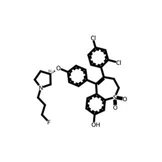 O=S1(=O)CCC(c2ccc(Cl)cc2Cl)=C(c2ccc(O[C@H]3CCN(CCCF)C3)cc2)c2ccc(O)cc21